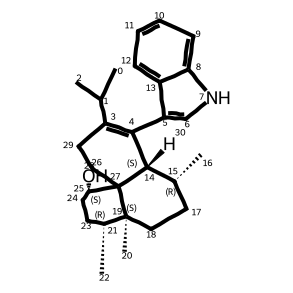 CC(C)C1=C(c2c[nH]c3ccccc23)[C@@H]2[C@H](C)CC[C@@]3(C)[C@H](C)CC[C@H](O)C23CC1